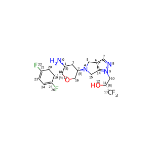 N[C@H]1C[C@@H](N2Cc3cnn(C[C@@H](O)C(F)(F)F)c3C2)CO[C@@H]1C1CC(F)=CC=C1F